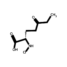 CCC(=O)CC[C@H](NCl)C(=O)O